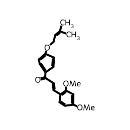 COc1ccc(C=CC(=O)c2ccc(OCC=C(C)C)cc2)c(OC)c1